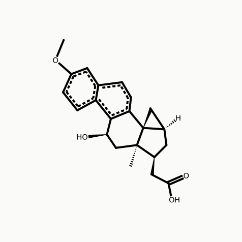 COc1ccc2c3c(ccc2c1)[C@]12C[C@H]1C[C@@H](CC(=O)O)[C@@]2(C)C[C@H]3O